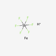 [F][Sb-]([F])([F])([F])([F])[F].[Fe].[H+]